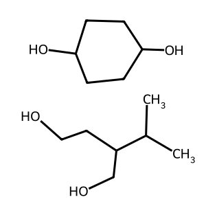 CC(C)C(CO)CCO.OC1CCC(O)CC1